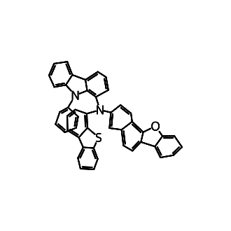 c1ccc(-n2c3ccccc3c3cccc(N(c4ccc5c(ccc6c7ccccc7oc56)c4)c4cccc5c4sc4ccccc45)c32)cc1